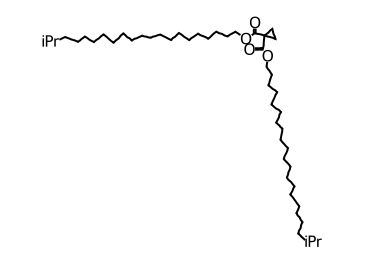 CC(C)CCCCCCCCCCCCCCCCCCCOC(=O)C1(C(=O)OCCCCCCCCCCCCCCCCCCCC(C)C)CC1